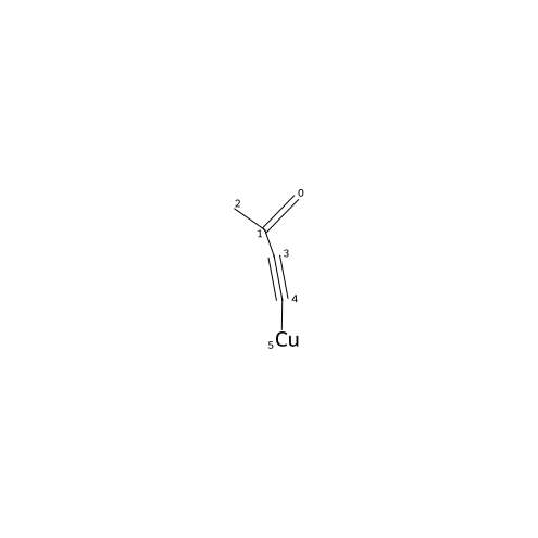 C=C(C)C#[C][Cu]